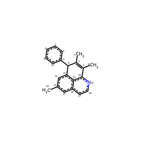 CC1=C(C)C(c2ccccc2)c2cc(C)cc3ccnc1c23